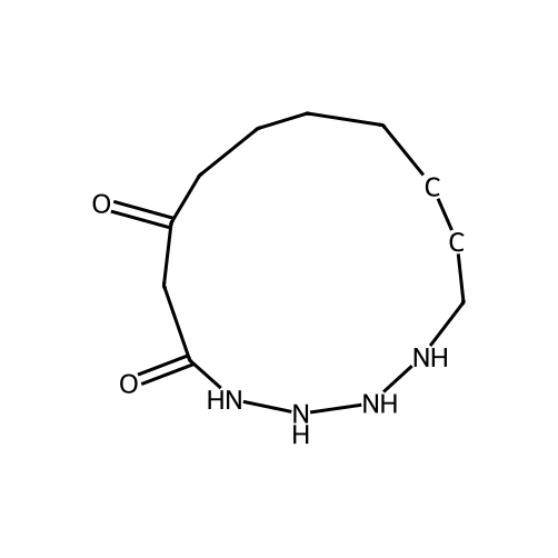 O=C1CCCCCCCNNNNC(=O)C1